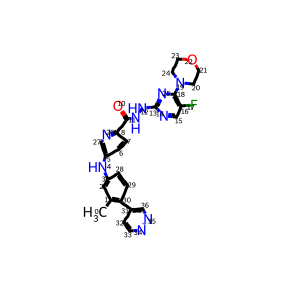 Cc1cc(Nc2ccc(C(=O)NNc3ncc(F)c(N4CCOCC4)n3)nc2)ccc1-c1ccnnc1